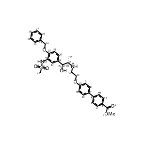 COC(=O)c1ccc(-c2ccc(OCCN[C@@H](C)[C@@H](O)c3ccc(OCc4ccccc4)c(NS(C)(=O)=O)c3)cc2)cc1